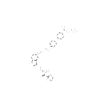 COC(=O)c1ccc(-c2ccc(OCCOc3ccc4occ(CCNC(=O)c5ccco5)c4c3)cc2)cc1